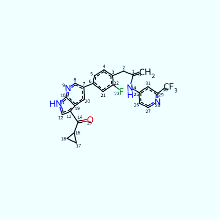 C=C(Cc1ccc(-c2cnc3[nH]cc(C(=O)C4CC4)c3c2)cc1F)Nc1ccnc(C(F)(F)F)c1